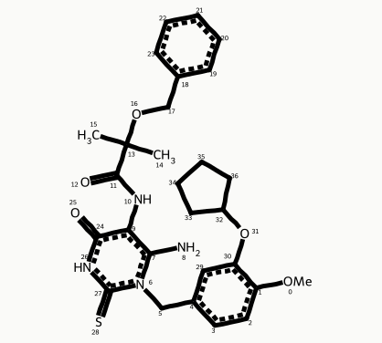 COc1ccc(Cn2c(N)c(NC(=O)C(C)(C)OCc3ccccc3)c(=O)[nH]c2=S)cc1OC1CCCC1